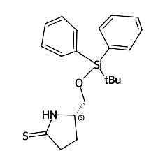 CC(C)(C)[Si](OC[C@@H]1CCC(=S)N1)(c1ccccc1)c1ccccc1